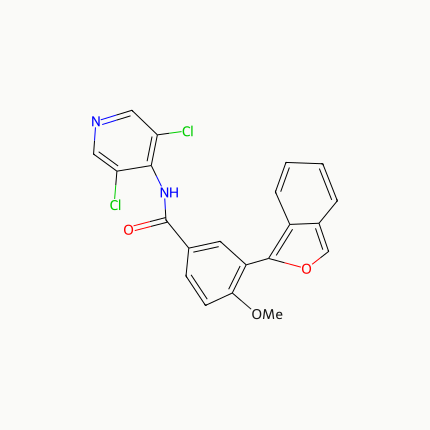 COc1ccc(C(=O)Nc2c(Cl)cncc2Cl)cc1-c1occ2ccccc12